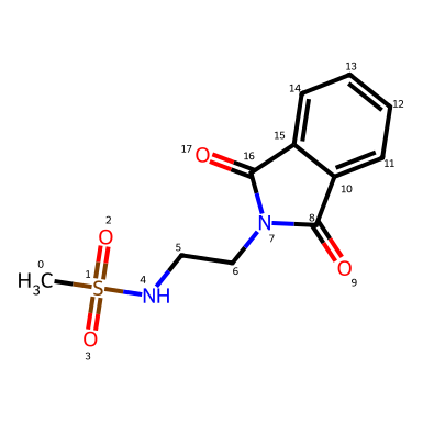 CS(=O)(=O)NCCN1C(=O)c2ccccc2C1=O